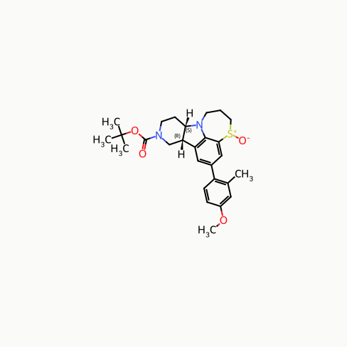 COc1ccc(-c2cc3c4c(c2)[S+]([O-])CCCN4[C@H]2CCN(C(=O)OC(C)(C)C)C[C@@H]32)c(C)c1